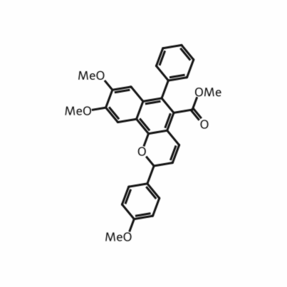 COC(=O)c1c2c(c3cc(OC)c(OC)cc3c1-c1ccccc1)OC(c1ccc(OC)cc1)C=C2